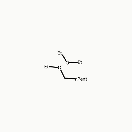 CCCCCCOCC.CCOCC